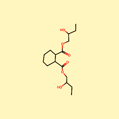 CCC(O)COC(=O)C1CCCCC1C(=O)OCC(O)CC